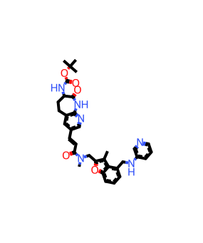 Cc1c(CN(C)C(=O)/C=C/c2cnc3c(c2)CCC(NC(=O)OC(C)(C)C)C(=O)N3)oc2cccc(CNc3cccnc3)c12